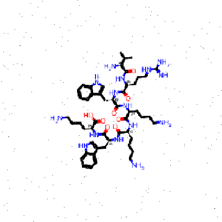 CC(C)[C@H](N)C(=O)N[C@@H](CCCNC(=N)N)C(=O)N[C@@H](Cc1c[nH]c2ccccc12)C(=O)N[C@@H](CCCCN)C(=O)N[C@@H](CCCCN)C(=O)N[C@@H](Cc1c[nH]c2ccccc12)C(=O)N[C@@H](CCCCN)C(=O)O